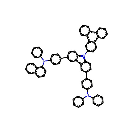 c1ccc(N(c2ccccc2)c2ccc(-c3ccc4c(c3)c3cc(-c5ccc(N(c6ccccc6)c6cccc7ccccc67)cc5)ccc3n4-c3ccc4c5ccccc5c5ccccc5c4c3)cc2)cc1